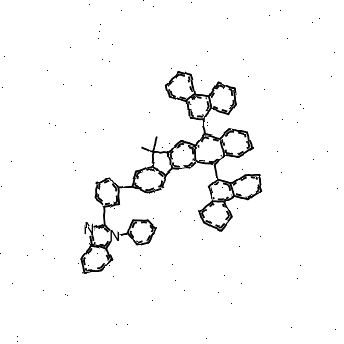 CC1(C)c2cc(-c3cccc(-c4nc5ccccc5n4-c4ccccc4)c3)ccc2-c2cc3c(-c4cc5ccccc5c5ccccc45)c4ccccc4c(-c4cc5ccccc5c5ccccc45)c3cc21